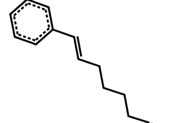 [CH2]CCCCC=Cc1ccccc1